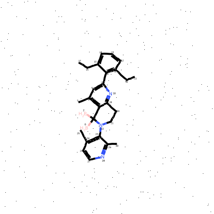 BC1(B)c2c(C)cc(-c3c(CC)cccc3CC)nc2CCN1c1c(C)ccnc1C